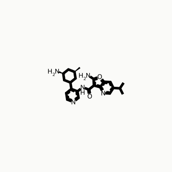 CC(C)c1cnc2c(C(=O)Nc3cnccc3C3C[C@H](C)C[C@H](N)C3)c(N)oc2c1